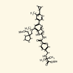 COCC1(CN(C)c2cc(-c3cnc(C4CC4)c(C(F)(F)F)c3)nc3nc(NC(=O)c4ccc(CNC(C)(C)C(=O)OC)cn4)[nH]c23)CCCC1